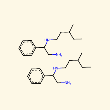 CCC(C)CCNC(CN)c1ccccc1.CCC(C)CCNC(CN)c1ccccc1